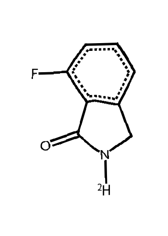 [2H]N1Cc2cccc(F)c2C1=O